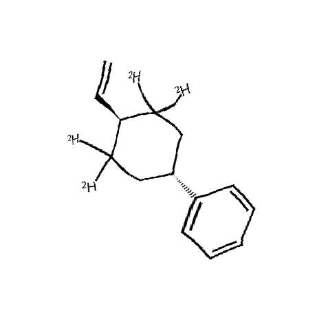 [2H]C1([2H])C[C@H](c2ccccc2)CC([2H])([2H])[C@H]1C=C